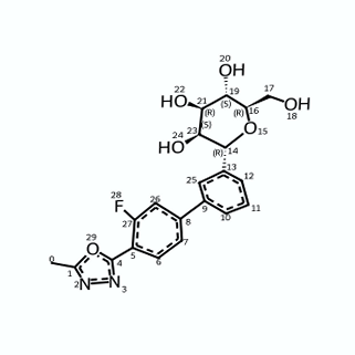 Cc1nnc(-c2ccc(-c3cccc([C@H]4O[C@H](CO)[C@@H](O)[C@H](O)[C@@H]4O)c3)cc2F)o1